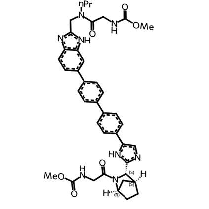 CCCN(Cc1nc2ccc(-c3ccc(-c4ccc(-c5cnc([C@@H]6[C@H]7CC[C@H](C7)N6C(=O)CNC(=O)OC)[nH]5)cc4)cc3)cc2[nH]1)C(=O)CNC(=O)OC